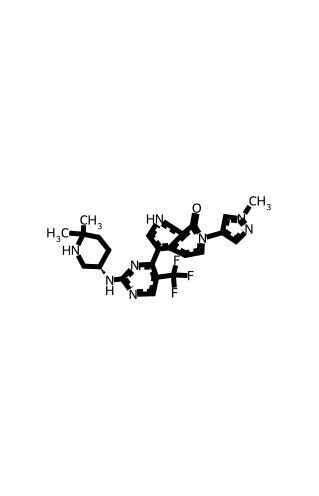 Cn1cc(-n2ccc3c(-c4nc(N[C@H]5CCC(C)(C)NC5)ncc4C(F)(F)F)c[nH]c3c2=O)cn1